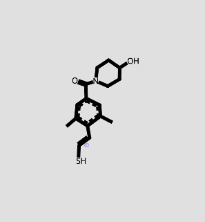 Cc1cc(C(=O)N2CCC(O)CC2)cc(C)c1/C=C/S